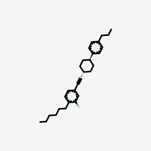 CCCCCCc1ccc(C#C[C@H]2CC[C@H](c3ccc(CCC)cc3)CC2)cc1F